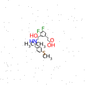 CSc1ccc(CC(C)(C)NC[C@@H](O)c2cc(CCC(=O)O)cc(F)c2F)cc1